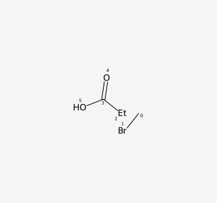 CBr.CCC(=O)O